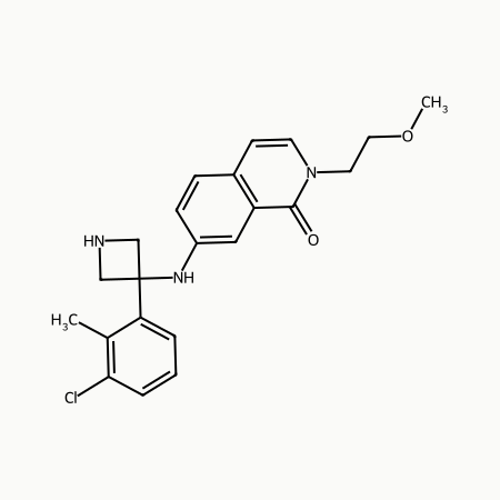 COCCn1ccc2ccc(NC3(c4cccc(Cl)c4C)CNC3)cc2c1=O